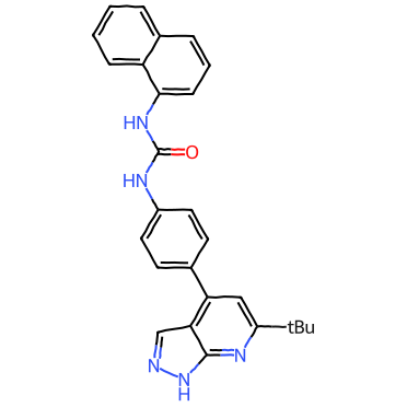 CC(C)(C)c1cc(-c2ccc(NC(=O)Nc3cccc4ccccc34)cc2)c2cn[nH]c2n1